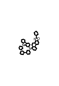 c1ccc(-c2cccc(N(c3ccc4c5ccccc5n(-c5ccccc5)c4c3)c3cccc4c3ccc3c4ccc4oc(-c5ccccc5)nc43)c2)cc1